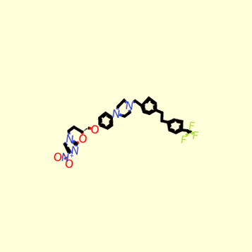 O=[N+]([O-])c1cn2c(n1)O[C@@H](COc1ccc(N3CCN(Cc4ccc(CCc5ccc(C(F)(F)F)cc5)cc4)CC3)cc1)CC2